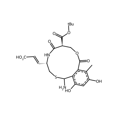 Cc1c(O)cc(O)c2c1C(=O)OC[C@H](C(=O)OC(C)(C)C)C(=O)N[C@@H](C=CC(=O)O)CSC2N